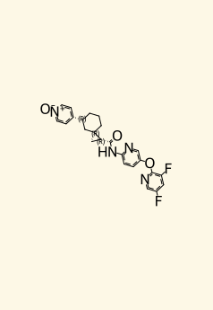 O=C(Nc1ccc(Oc2ncc(F)cc2F)cn1)[C@@H]1C[C@]12CCC[C@@H](c1cc[n+]([O-])cc1)C2